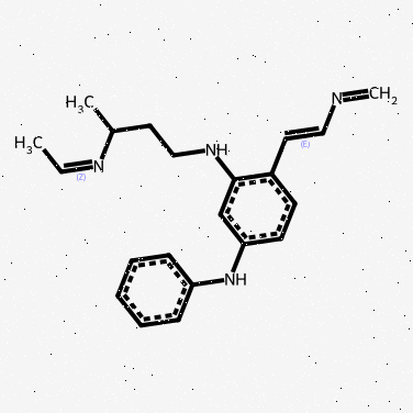 C=N/C=C/c1ccc(Nc2ccccc2)cc1NCCC(C)/N=C\C